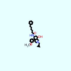 COc1cccc(C23CCN(CC4CC4)CC2C(O)CC(NC(=O)CCCCCc2ccccc2)C3)c1